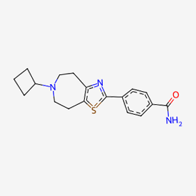 NC(=O)c1ccc(-c2nc3c(s2)CCN(C2CCC2)CC3)cc1